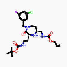 C=CCOC(=O)NC[C@@H]1CCN(Cc2cc(Cl)cc(I)c2)C(=O)[C@H](CCNC(=O)OC(C)(C)C)N1